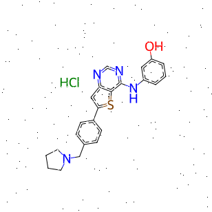 Cl.Oc1cccc(Nc2ncnc3cc(-c4ccc(CN5CCCC5)cc4)sc23)c1